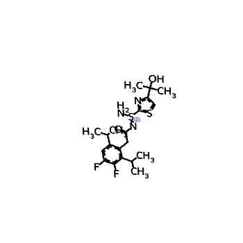 CC(C)c1cc(F)c(F)c(C(C)C)c1CC(=O)/N=S(\N)c1nc(C(C)(C)O)cs1